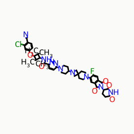 CC1(C)C(NC(=O)c2ccc(N3CCC(N4CC5(CCN(c6cc7c(cc6F)C(=O)N(C6CCC(=O)NC6=O)C7=O)CC5)C4)CC3)nn2)C(C)(C)C1Oc1ccc(C#N)c(Cl)c1